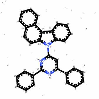 c1ccc(-c2cc(-n3c4ccccc4c4c5ccccc5ccc43)nc(-c3ccccc3)n2)cc1